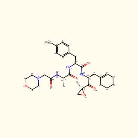 COc1ccc(C[C@H](NC(=O)[C@H](C)NC(=O)CN2CCOCC2)C(=O)N[C@@H](CC2=CCCCC2)C(=O)[C@]2(C)CO2)cc1